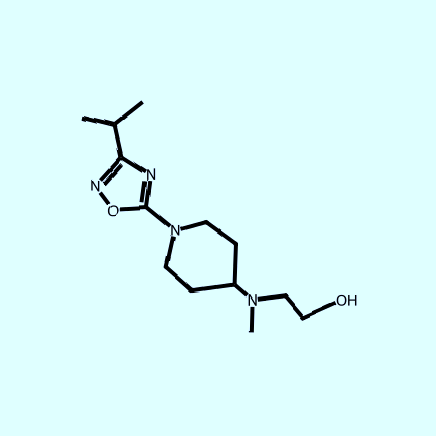 CC(C)c1noc(N2CCC(N(C)CCO)CC2)n1